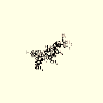 CC[C@H](C)[C@@H](N)[C@@H](O)CC(=O)O[C@@H](C(C)C)[C@@H](O)[C@H](C)C(=O)N[C@@H](CC(C)C)C(=O)N1CCC[C@H]1C(=O)N(C)[C@@H](Cc1ccc(OC)cc1)C(=O)N[C@H]([C]=O)[C@@H](C)N